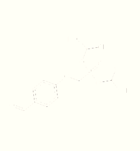 CC(C)OP(=O)(COc1ccc(C=O)cc1)OC(C)C